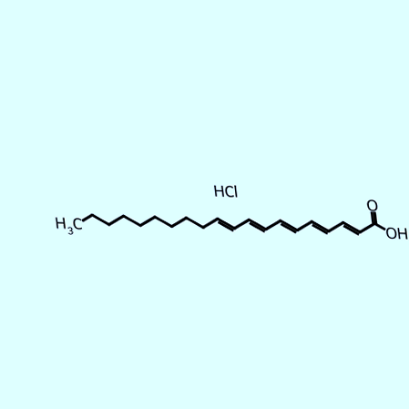 CCCCCCCCCC=CC=CC=CC=CC=CC(=O)O.Cl